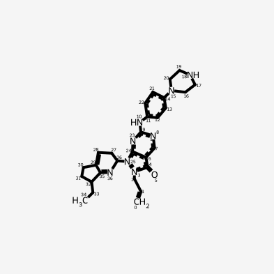 C=CCn1c(=O)c2cnc(Nc3ccc(N4CCNCC4)cc3)nc2n1C1CC=C2CCC(CC)C2=N1